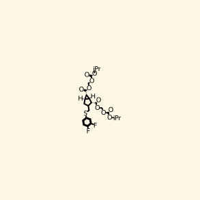 CC(C)OC(=O)OCOC(=O)[C@H]1[C@@H]2CC(CSc3ccc(F)c(F)c3)[C@@H](C(=O)OCOC(=O)OC(C)C)[C@@H]21